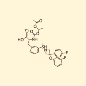 CC(=O)OC(C)OC(=O)NC(Cc1cccc([SH](C)N2CC(Oc3cccc(F)c3)(c3ccc(F)cc3)C2)c1)C(O)=C1CC1